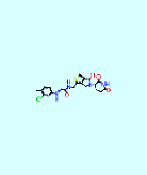 Cc1ccc(NCC(=O)NCc2scc3c2CN(C2CCC(=O)NC2=O)C3=O)cc1Cl